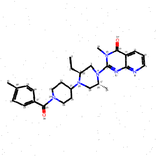 CC[C@H]1CN(c2nc3ncccc3c(=O)n2C)[C@H](C)CN1C1CCN(C(=O)c2ccc(C)cc2)CC1